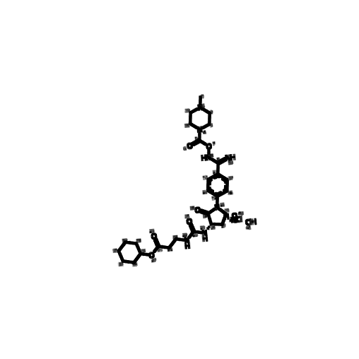 CN1CCN(C(=O)ONC(=N)c2ccc(N3CC[C@H](NC(=O)NCCC(=O)OC4CCCCC4)C3=O)cc2)CC1.Cl.Cl.O